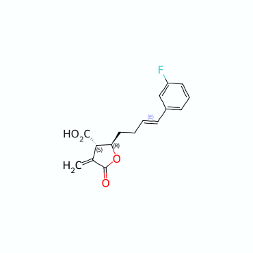 C=C1C(=O)O[C@H](CC/C=C/c2cccc(F)c2)[C@H]1C(=O)O